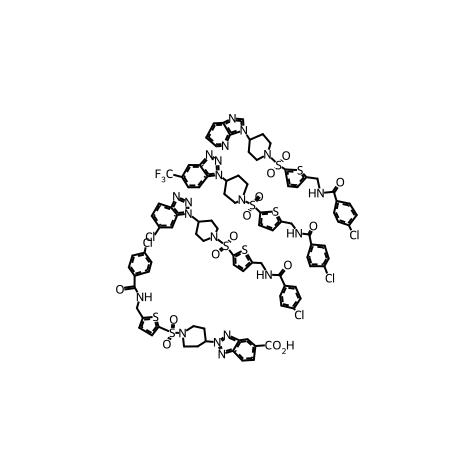 O=C(NCc1ccc(S(=O)(=O)N2CCC(n3cnc4cccnc43)CC2)s1)c1ccc(Cl)cc1.O=C(NCc1ccc(S(=O)(=O)N2CCC(n3nnc4cc(C(F)(F)F)ccc43)CC2)s1)c1ccc(Cl)cc1.O=C(NCc1ccc(S(=O)(=O)N2CCC(n3nnc4ccc(Cl)cc43)CC2)s1)c1ccc(Cl)cc1.O=C(O)c1ccc2nn(C3CCN(S(=O)(=O)c4ccc(CNC(=O)c5ccc(Cl)cc5)s4)CC3)nc2c1